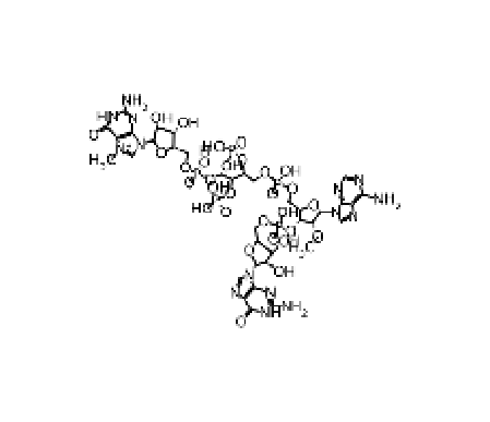 CO[C@H]1C(n2cnc3c(N)ncnc32)O[C@H](COP(=O)(O)OCC(OP(=O)(O)O)C(COP(=O)(O)OC[C@H]2OC(n3c[n+](C)c4c(=O)[nH]c(N)nc43)[C@H](O)[C@@H]2O)OP(=O)(O)O)[C@H]1OP(=O)(O)OCC1O[C@@H](n2cnc3c(=O)[nH]c(N)nc32)[C@H](O)[C@@H]1O